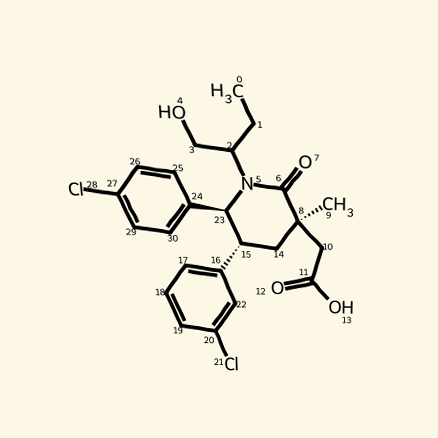 CCC(CO)N1C(=O)[C@@](C)(CC(=O)O)C[C@H](c2cccc(Cl)c2)[C@H]1c1ccc(Cl)cc1